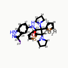 O=C(O)C(c1cccs1)(N1CCCC1)C(C(=O)Nc1ccc2[nH]nc(I)c2c1)(c1cccs1)N1CCCC1